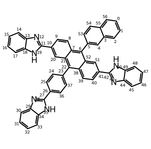 c1ccc2cc(-c3c4ccc(-c5nc6ccccc6[nH]5)cc4c(-c4ccc(-c5nc6ccccc6[nH]5)cc4)c4ccc(-c5nc6ccccc6[nH]5)cc34)ccc2c1